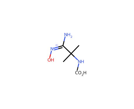 CC(C)(NC(=O)O)/C(N)=N\O